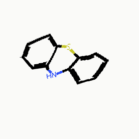 [c]1ccc2c(c1)Nc1ccccc1S2